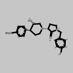 COc1ccc([C@@H]2CCN([C@@H]3CCN(Cc4ccc(F)cc4)C3=O)C[C@H]2O)cc1